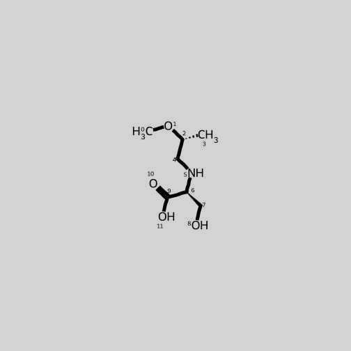 CO[C@H](C)CN[C@@H](CO)C(=O)O